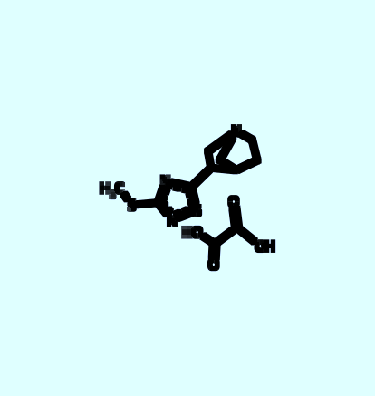 CSc1nsc(C2CN3CCC2C3)n1.O=C(O)C(=O)O